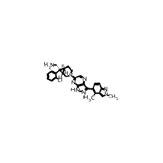 Cc1c(-c2n[nH]c3nc(N4CC[C@@H]5[C@H](C4)[C@@]5(CN)c4ccccc4Cl)cnc23)ccc2nn(C)cc12